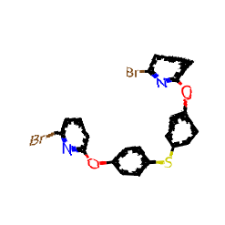 Brc1cccc(Oc2ccc(Sc3ccc(Oc4cccc(Br)n4)cc3)cc2)n1